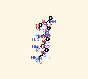 COc1ccc(NC(=O)[C@@H](Cc2c[nH]c3ccccc23)NC(=O)c2cc(NC(=O)[C@@H](CCCNC(=N)N)NC(=O)c3cc(NC(=O)[C@@H](CCCNC(=N)N)NC(=O)c4cc(NC(=O)[C@H](N)CCCNC(=N)N)ccc4OC)ccc3OC)ccc2OC)cc1C(N)=O